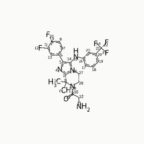 CC1(C)c2nc(-c3ccc(F)c(F)c3)c(Nc3cccc(C(F)(F)F)c3)n2CCN1C(=O)CN